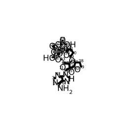 Nc1ncnc2c1ncn2[C@@H]1O[C@H](COP(=O)(O)OP(=O)(O)OP(=O)(O)O)[C@@H](OC2CCCO2)[C@]1(O)C1CCCO1